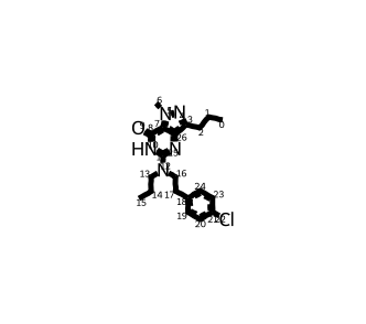 CCCc1nn(C)c2c(=O)[nH]c(N(CCC)CCc3ccc(Cl)cc3)nc12